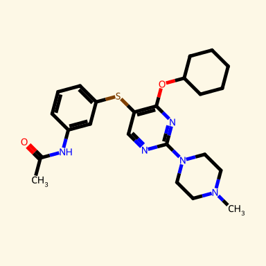 CC(=O)Nc1cccc(Sc2cnc(N3CCN(C)CC3)nc2OC2CCCCC2)c1